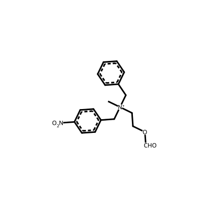 C[N+](CCOC=O)(Cc1ccccc1)Cc1ccc([N+](=O)[O-])cc1